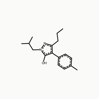 CCCc1nn(CC(C)C)c(O)c1-c1ccc(C)cc1